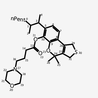 CCCCCC(C)C(C)c1ccc2c(c1OC(=O)CCCN1CCOCC1)OC(C)(C)C1=C2CSC1